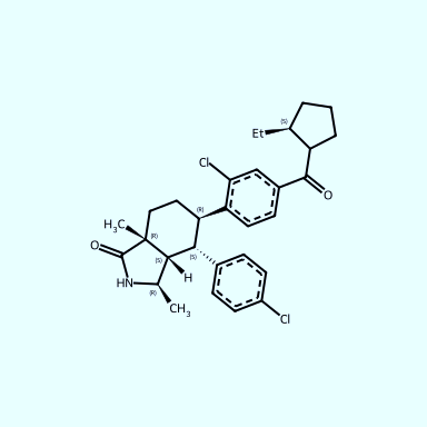 CC[C@H]1CCCC1C(=O)c1ccc([C@@H]2CC[C@@]3(C)C(=O)N[C@H](C)[C@H]3[C@H]2c2ccc(Cl)cc2)c(Cl)c1